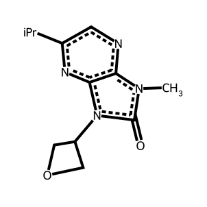 CC(C)c1cnc2c(n1)n(C1COC1)c(=O)n2C